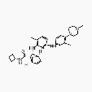 Cc1cc(Nc2ncc(F)c(N[C@H]3[C@@H](C(=O)NC4CCC4)[C@@H]4C=C[C@H]3C4)n2)ccc1N1CCN(C)CC1